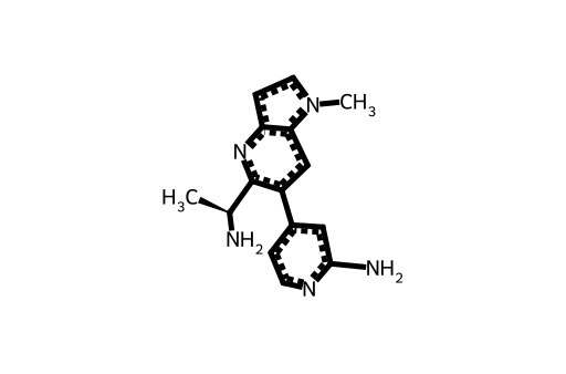 C[C@H](N)c1nc2ccn(C)c2cc1-c1ccnc(N)c1